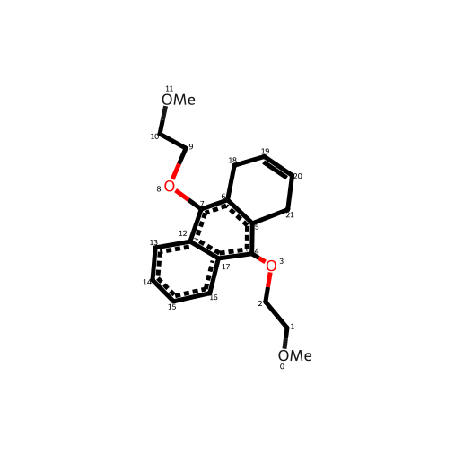 COCCOc1c2c(c(OCCOC)c3ccccc13)CC=CC2